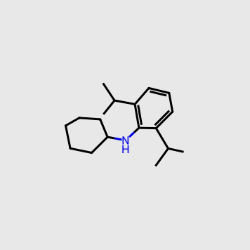 CC(C)c1cccc(C(C)C)c1NC1CCCCC1